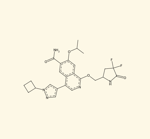 CC(C)Oc1cc2c(OCC3CC(F)(F)C(=O)N3)ncc(-c3cnn(C4CCC4)c3)c2cc1C(N)=O